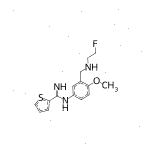 COc1ccc(NC(=N)c2cccs2)cc1CNCCF